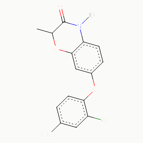 CCN1C(=O)C(C)Oc2cc(Oc3ccc(C(F)(F)F)cc3Cl)ccc21